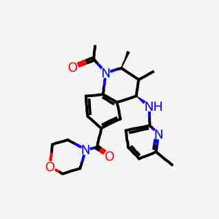 CC(=O)N1c2ccc(C(=O)N3CCOCC3)cc2[C@H](Nc2cccc(C)n2)C(C)[C@@H]1C